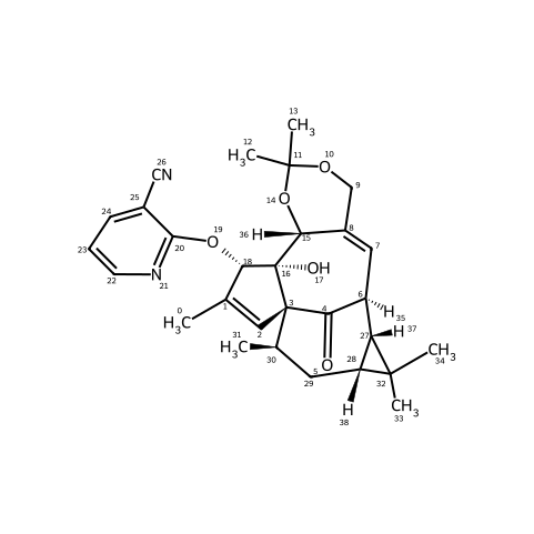 CC1=C[C@]23C(=O)[C@@H](C=C4COC(C)(C)O[C@H]4[C@]2(O)[C@H]1Oc1ncccc1C#N)[C@H]1[C@@H](C[C@H]3C)C1(C)C